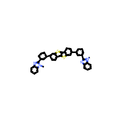 Cn1c(-c2cccc(-c3ccc4c(c3)sc3c5ccc(-c6cccc(-c7nc8ccccc8n7C)c6)cc5sc43)c2)nc2ccccc21